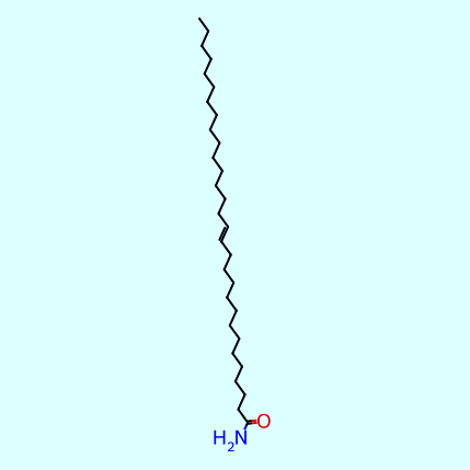 CCCCCCCCCCCCCCCC=CCCCCCCCCCCCCC(N)=O